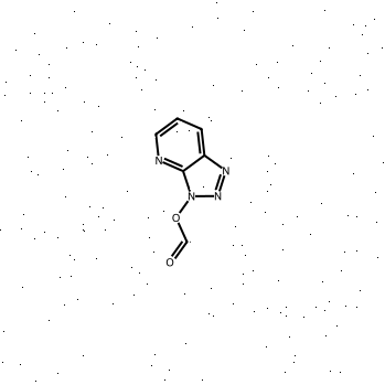 O=[C]On1nnc2cccnc21